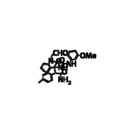 COc1cccc(NC(=O)NC2(C(C(N)=O)c3ccc(C)cc3)C(=O)N(CC=O)c3ccccc32)c1